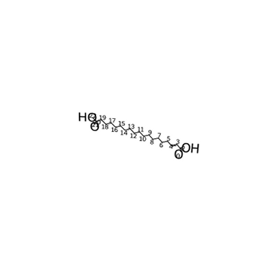 O=C(O)C=CCCCCCCCCCCCCCCCC(=O)O